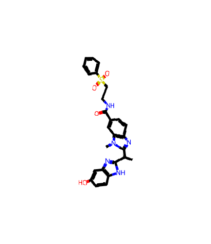 CC(c1nc2cc(O)ccc2[nH]1)c1nc2ccc(C(=O)NCCS(=O)(=O)c3ccccc3)cc2n1C